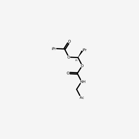 [CH2]C(=O)CNC(=O)O[C@@H](OC(=O)C(C)C)C(C)C